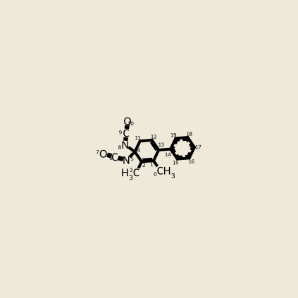 CC1=C(C)C(N=C=O)(N=C=O)CC=C1c1ccccc1